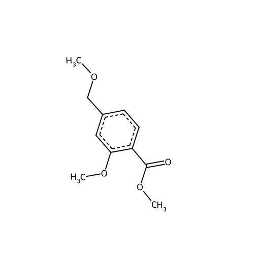 COCc1ccc(C(=O)OC)c(OC)c1